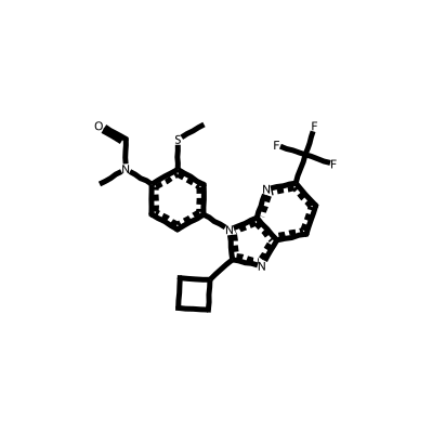 CSc1cc(-n2c(C3CCC3)nc3ccc(C(F)(F)F)nc32)ccc1N(C)C=O